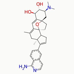 CC1=C2C=C3[C@@H](O)[C@H](O)[C@@H](N(C)C)C[C@]34CC[C@]2(O4)C2CC=C(c3ccc4c(N)nccc4c3)[C@@]2(C)C1